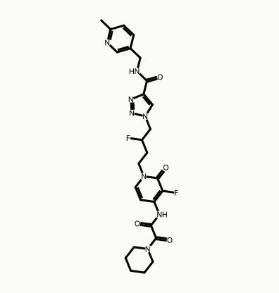 Cc1ccc(CNC(=O)c2cn(CC(F)CCn3ccc(NC(=O)C(=O)N4CCCCC4)c(F)c3=O)nn2)cn1